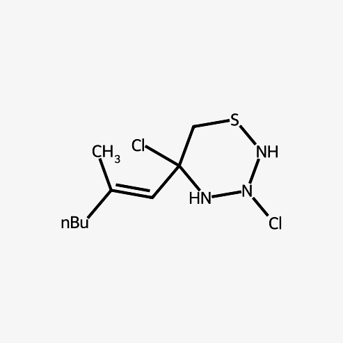 CCCC/C(C)=C/C1(Cl)CSNN(Cl)N1